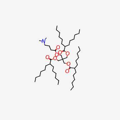 CCCCCCC(CCCCCC)C(=O)OCC(COC(=O)CCCN(C)C)(COC(=O)C(CCCCCC)CCCCCC)COC(=O)C(CCCCCC)CCCCCC